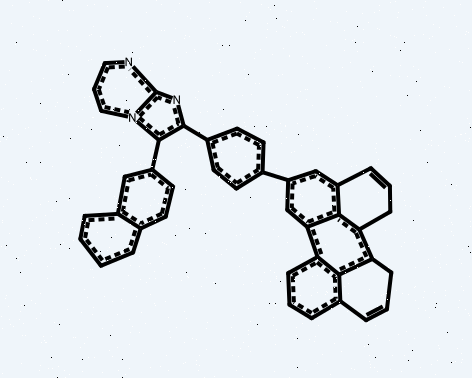 C1=Cc2cccc3c2c(c2c4c(cc(-c5ccc(-c6nc7ncccn7c6-c6ccc7ccccc7c6)cc5)cc43)C=CC2)C1